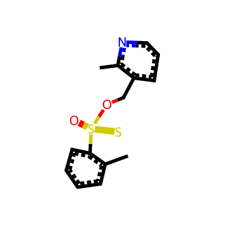 Cc1ccccc1S(=O)(=S)OCc1cccnc1C